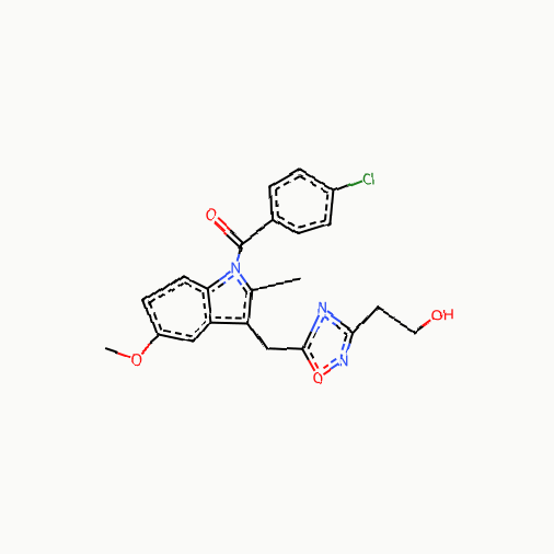 COc1ccc2c(c1)c(Cc1nc(CCO)no1)c(C)n2C(=O)c1ccc(Cl)cc1